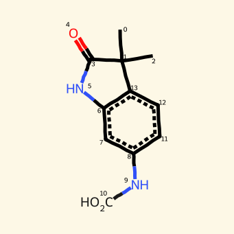 CC1(C)C(=O)Nc2cc(NC(=O)O)ccc21